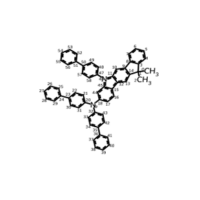 CC1(C)c2ccccc2-c2cc3c(cc21)c1ccc(N(c2ccc(-c4ccccc4)cc2)c2ccc(-c4ccccc4)cc2)cc1n3-c1ccc(-c2ccccc2)cc1